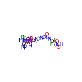 CCc1cc(Nc2ncc(Br)c(Nc3ccc4nc(C)ccc4c3[P]3(O)CCCC3)n2)c(OC)cc1N1CCC(N2CCN(C(=O)C3CN(c4cc(F)c(C5CCC(=O)NC5=O)c(F)c4)C3)CC2)CC1